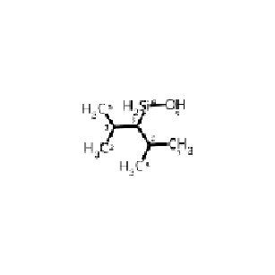 CC(C)C([SiH2]O)C(C)C